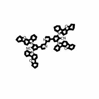 N#Cc1c(-n2c3ccccc3c3c4oc5ccccc5c4ccc32)cc(-c2ccnc(-c3cc(-c4cc(-n5c6ccccc6c6c7oc8ccccc8c7ccc65)c(C#N)c(-n5c6ccccc6c6c7oc8ccccc8c7ccc65)c4)ccn3)c2)cc1-n1c2ccccc2c2c3oc4ccccc4c3ccc21